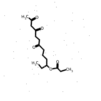 CCC(=O)OC(CC)CCCC(=O)CCC(=O)CC(C)=O